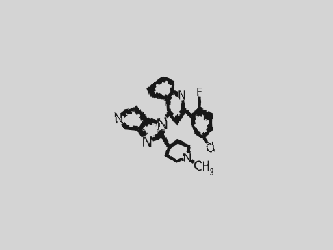 CN1CCC(c2nc3cnccc3n2-c2cc(-c3cc(Cl)ccc3F)nc3ccccc23)CC1